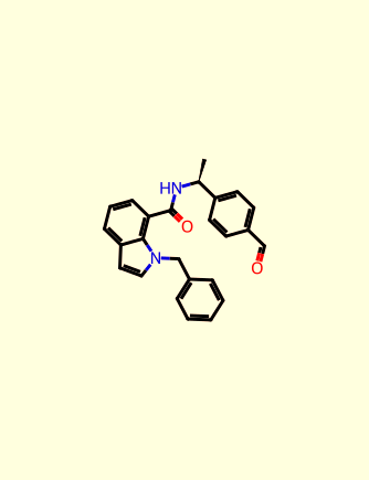 C[C@H](NC(=O)c1cccc2ccn(Cc3ccccc3)c12)c1ccc(C=O)cc1